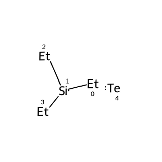 CC[Si](CC)CC.[Te]